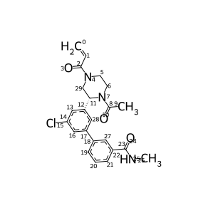 C=CC(=O)N1CCN(C(C)=O)[C@H](c2cc(Cl)cc(-c3cccc(C(=O)NC)c3)c2)C1